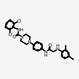 Cc1ccc(NCC(=O)Nc2ccc(N3CCN(C(=O)Nc4c(Cl)cccc4Cl)CC3)cc2)c(C)c1